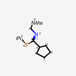 CNC/N=C(\SC(C)C)C1CCCC1